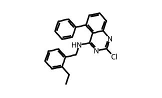 CCc1ccccc1CNc1nc(Cl)nc2cccc(-c3ccccc3)c12